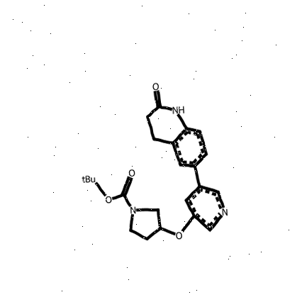 CC(C)(C)OC(=O)N1CCC(Oc2cncc(-c3ccc4c(c3)CCC(=O)N4)c2)C1